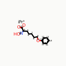 CC(C)OC(=O)C(CCCCCOc1ccccc1)=NO